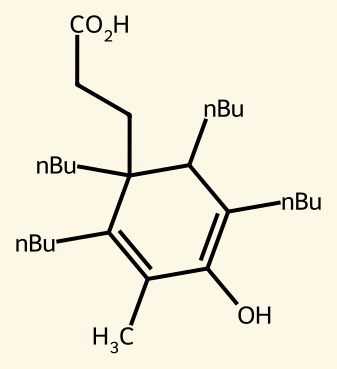 CCCCC1=C(O)C(C)=C(CCCC)C(CCCC)(CCC(=O)O)C1CCCC